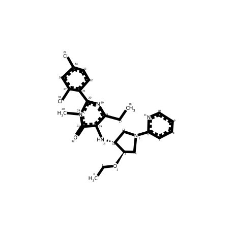 CCO[C@@H]1CN(c2ccccn2)C[C@H]1Nc1c(CC)nc(-c2ccc(Cl)cc2Cl)n(C)c1=O